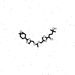 CCC(CCC(C)(C)O)C1OCC(COC(C)OCC2COC(C3CCC4(C)OC4C3)O2)O1